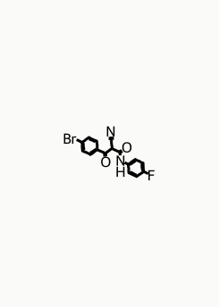 N#CC(C(=O)Nc1ccc(F)cc1)C(=O)c1ccc(Br)cc1